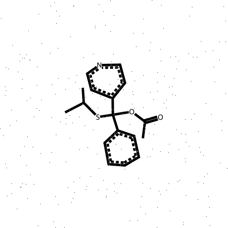 CC(=O)OC(SC(C)C)(c1ccccc1)c1ccncc1